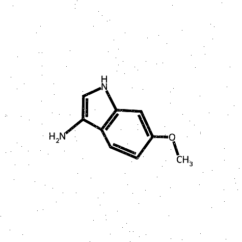 COc1ccc2c(N)c[nH]c2c1